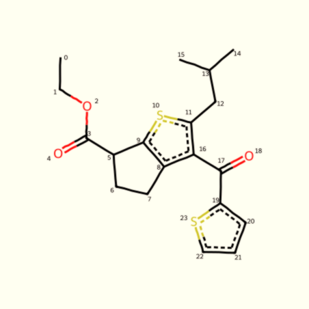 CCOC(=O)C1CCc2c1sc(CC(C)C)c2C(=O)c1cccs1